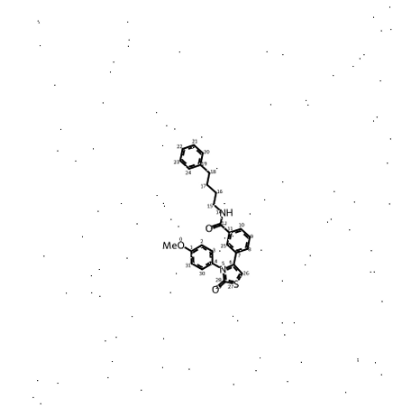 COc1ccc(-n2c(-c3cccc(C(=O)NCCCCc4ccccc4)c3)csc2=O)cc1